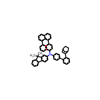 CC1(C)c2ccccc2-c2ccc(N(c3ccc(-c4ccccc4C4CC5CCC4C5)cc3)c3ccc(-c4cccc5cccc(-c6ccccc6)c45)cc3)cc21